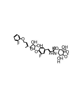 C/C(=C\c1ccc(O[C@@H]2O[C@H](/C(C)=C/COc3ccccc3F)[C@@H](O)[C@H]2O)c(F)c1)C(=O)N[C@@H]1[C@H](O)[C@@H](O)[C@H]2OCO[C@H]2[C@@H]1O